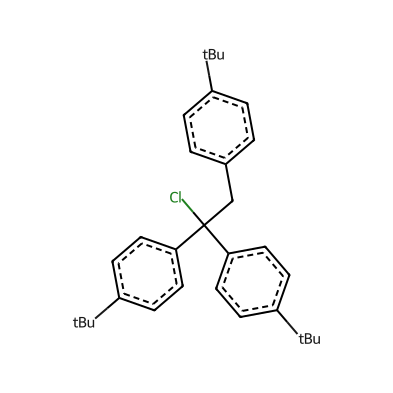 CC(C)(C)c1ccc(CC(Cl)(c2ccc(C(C)(C)C)cc2)c2ccc(C(C)(C)C)cc2)cc1